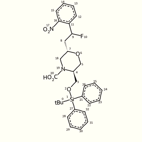 CC(C)(C)[Si](OC[C@@H]1CO[C@@H](CC(F)c2ccccc2[N+](=O)[O-])CN1C(=O)O)(c1ccccc1)c1ccccc1